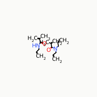 C=CCN(CC=C)C(=O)C(=C)C.C=CCNC(=O)C(=C)C